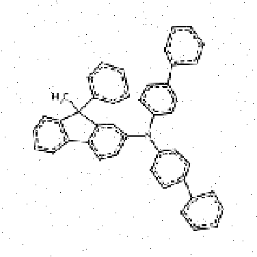 CC1(c2ccccc2)c2ccccc2-c2ccc(N(c3ccc(-c4ccccc4)cc3)c3ccc(-c4ccccc4)cc3)cc21